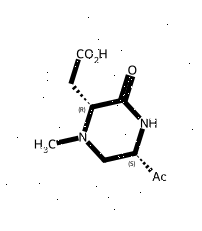 CC(=O)[C@@H]1CN(C)[C@H](CC(=O)O)C(=O)N1